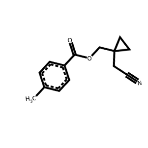 Cc1ccc(C(=O)OCC2(CC#N)CC2)cc1